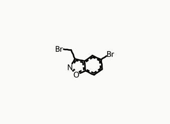 BrCc1noc2ccc(Br)cc12